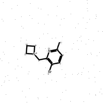 Cc1ccc(Br)c(CN2CCC2)n1